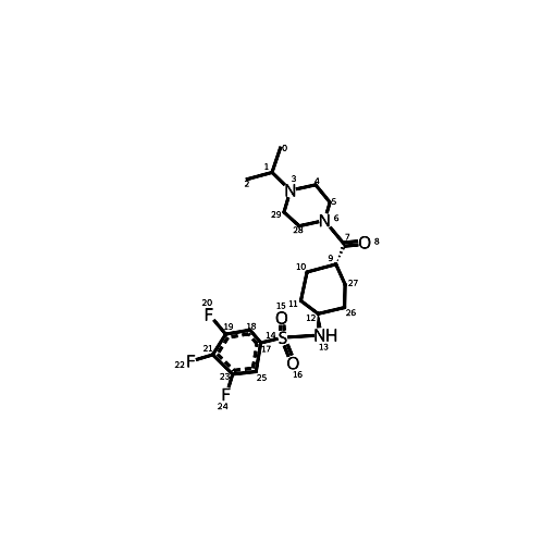 CC(C)N1CCN(C(=O)[C@H]2CC[C@H](NS(=O)(=O)c3cc(F)c(F)c(F)c3)CC2)CC1